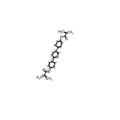 C=C(C)C(=O)Oc1ccc(-c2cnc(-c3ccc(OC(=O)C(=C)C)cc3)nc2)cc1